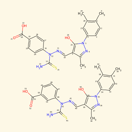 Cc1ccc(-n2nc(C)c(C=NN(C(N)=S)c3ccc(C(=O)O)cc3)c2O)cc1C.Cc1ccc(-n2nc(C)c(C=NN(C(N)=S)c3cccc(C(=O)O)c3)c2O)cc1C